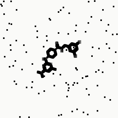 Cc1cc(N(C)C)nc(N[C@H]2CC[C@@H](C(=O)NCc3cc(Cl)cc(Cl)c3)CC2)n1